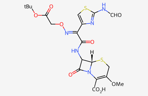 COC1=C(C(=O)O)N2C(=O)C(NC(=O)C(=NOCC(=O)OC(C)(C)C)c3csc(NC=O)n3)[C@@H]2SC1